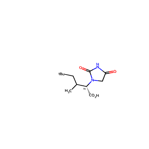 CC(CC(C)(C)C)[C@@H](C(=O)O)N1CC(=O)NC1=O